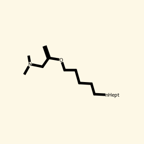 C=C(CN(C)C)OCCCCCCCCCCCC